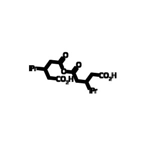 CC(C)C(CC(=O)O)CC(=O)OC(=O)CC(CC(=O)O)C(C)C